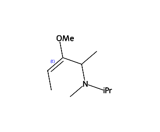 C/C=C(/OC)C(C)N(C)C(C)C